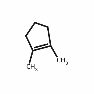 CC1=C(C)CCC1